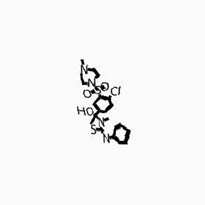 CN1CCN(S(=O)(=O)c2cc(C3(O)CS/C(=N/c4ccccc4)N3C)ccc2Cl)CC1